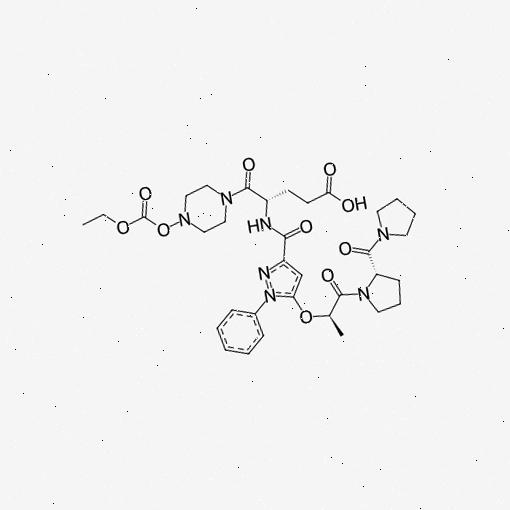 CCOC(=O)ON1CCN(C(=O)[C@H](CCC(=O)O)NC(=O)c2cc(O[C@H](C)C(=O)N3CCC[C@H]3C(=O)N3CCCC3)n(-c3ccccc3)n2)CC1